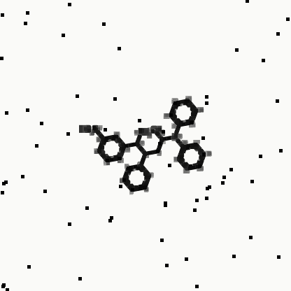 CC(CC(c1ccccc1)C(P)c1cccc(S(=O)(=O)O)c1)P(c1ccccc1)c1ccccc1